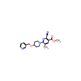 COC(=O)c1cc(C)c(N2CCC(OCc3cccnc3)CC2)nc1C#N